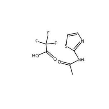 CC(=O)Nc1nccs1.O=C(O)C(F)(F)F